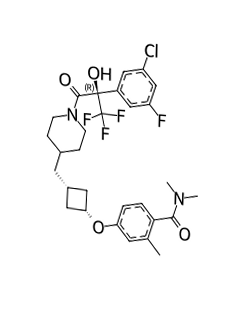 Cc1cc(O[C@H]2C[C@@H](CC3CCN(C(=O)[C@](O)(c4cc(F)cc(Cl)c4)C(F)(F)F)CC3)C2)ccc1C(=O)N(C)C